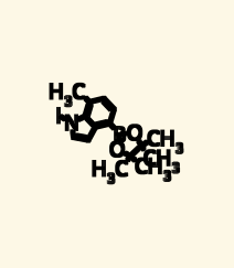 Cc1ccc(B2OC(C)(C)C(C)(C)O2)c2ccn(I)c12